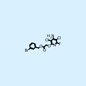 Nc1c(Cl)c(F)nc(OCC(=O)OCc2cccc(Br)c2)c1Cl